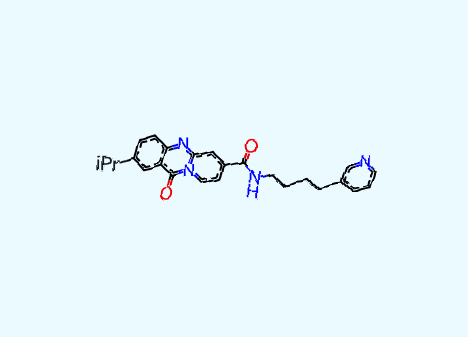 CC(C)c1ccc2nc3cc(C(=O)NCCCCc4cccnc4)ccn3c(=O)c2c1